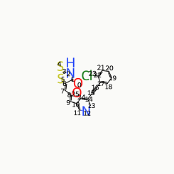 O=C1NC(=S)SC1=Cc1cc2cncc(C#Cc3ccccc3Cl)c2o1